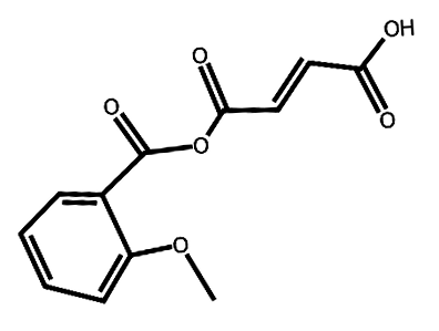 COc1ccccc1C(=O)OC(=O)/C=C/C(=O)O